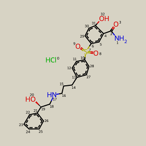 Cl.NC(=O)c1cc(S(=O)(=O)c2ccc(CCCNC[C@H](O)c3ccccc3)cc2)ccc1O